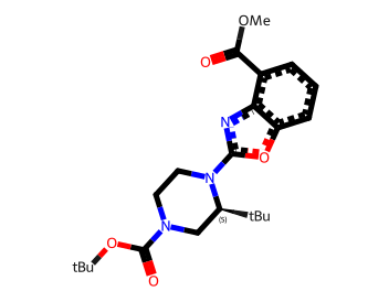 COC(=O)c1cccc2oc(N3CCN(C(=O)OC(C)(C)C)C[C@@H]3C(C)(C)C)nc12